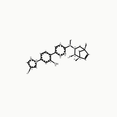 CN(c1ncc(-c2ccc(-n3cc(F)cn3)cc2O)nn1)[C@H]1C[C@]2(C)C=C[C@@](C)(C2)[C@H]1F